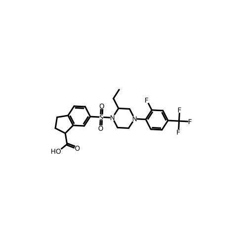 CCC1CN(c2ccc(C(F)(F)F)cc2F)CCN1S(=O)(=O)c1ccc2c(c1)C(C(=O)O)CC2